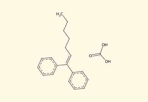 CCCCCC=C(c1ccccc1)c1ccccc1.O=C(O)O